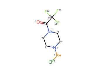 O=C(N1CCN(PCl)CC1)C(F)(F)F